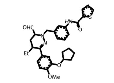 CCC1CC(C=O)N(Cc2cccc(NC(=O)c3cccs3)c2)N=C1c1ccc(OC)c(OC2CCCC2)c1